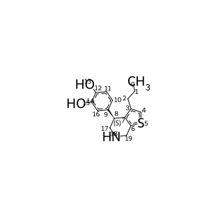 CCCc1csc2c1[C@H](c1ccc(O)c(O)c1)CNC2